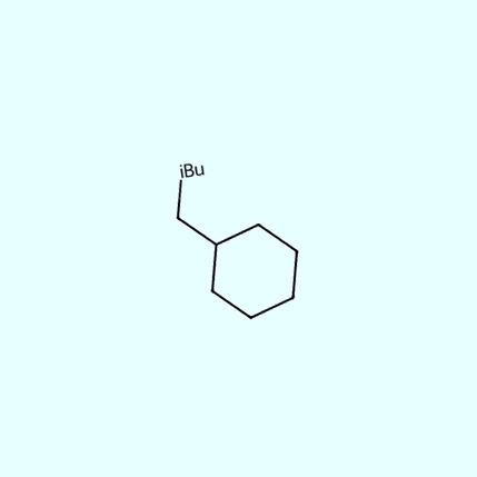 [CH2]C(CC)CC1CCCCC1